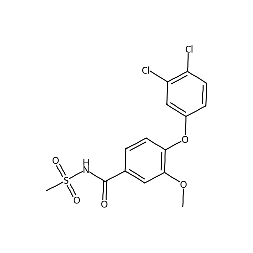 COc1cc(C(=O)NS(C)(=O)=O)ccc1Oc1ccc(Cl)c(Cl)c1